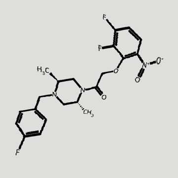 C[C@@H]1CN(Cc2ccc(F)cc2)[C@@H](C)CN1C(=O)COc1c([N+](=O)[O-])ccc(F)c1F